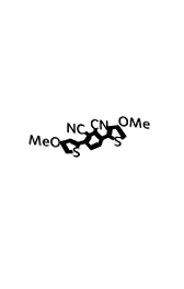 COc1csc(-c2ccc(-c3cc(OC)cs3)c(C#N)c2C#N)c1